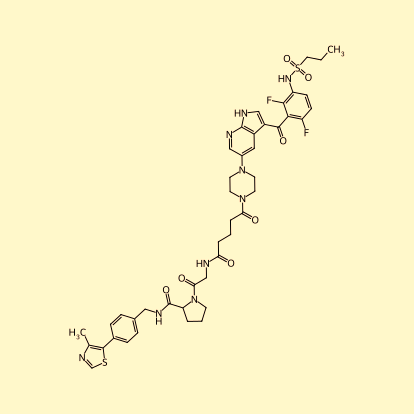 CCCS(=O)(=O)Nc1ccc(F)c(C(=O)c2c[nH]c3ncc(N4CCN(C(=O)CCCC(=O)NCC(=O)N5CCCC5C(=O)NCc5ccc(-c6scnc6C)cc5)CC4)cc23)c1F